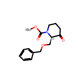 CC(C)(C)OC(=O)N1CCCC(=O)[C@H]1COCc1ccccc1